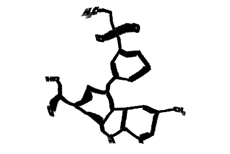 CCS(=O)(=O)c1cccc(-c2cc(C(=O)O)cc3[nH]c4ncc(C)cc4c23)c1